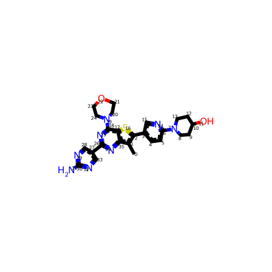 Cc1c(-c2ccc(N3CCC(O)CC3)nc2)sc2c(N3CCOCC3)nc(-c3cnc(N)nc3)nc12